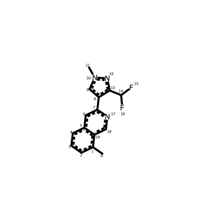 Cc1cccc2cc(-c3cn(C)nc3C(F)F)ncc12